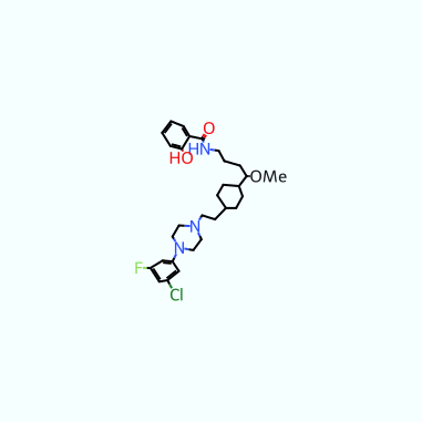 COC(CCCNC(=O)c1ccccc1O)C1CCC(CCN2CCN(c3cc(F)cc(Cl)c3)CC2)CC1